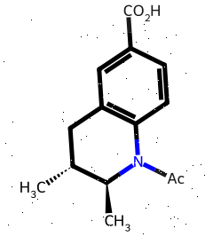 CC(=O)N1c2ccc(C(=O)O)cc2C[C@@H](C)[C@@H]1C